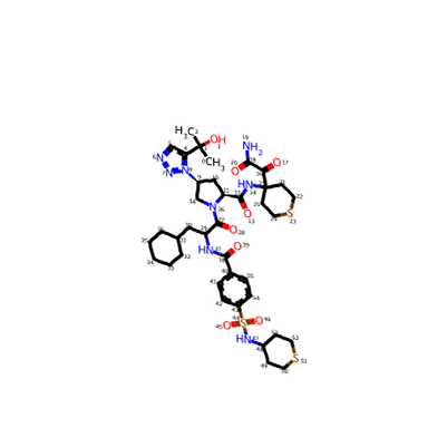 CC(C)(O)c1cnnn1[C@H]1C[C@@H](C(=O)NC2(C(=O)C(N)=O)CCSCC2)N(C(=O)C(CC2CCCCC2)NC(=O)c2ccc(S(=O)(=O)NC3CCSCC3)cc2)C1